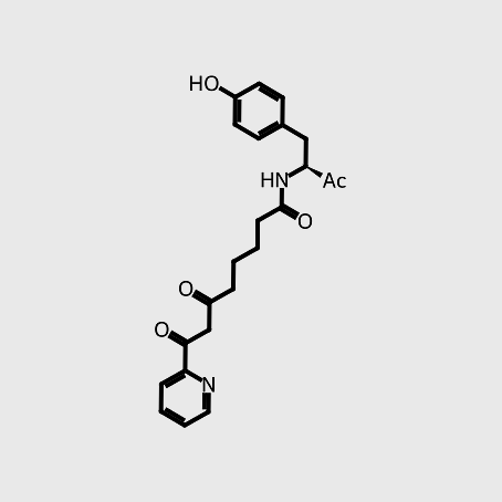 CC(=O)[C@H](Cc1ccc(O)cc1)NC(=O)CCCCC(=O)CC(=O)c1ccccn1